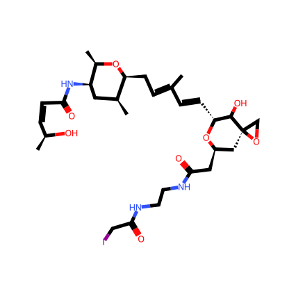 CC(/C=C/[C@H]1O[C@H](CC(=O)NCCNC(=O)CI)C[C@@]2(CO2)C1O)=C\C[C@@H]1O[C@H](C)[C@H](NC(=O)/C=C\[C@H](C)O)C[C@@H]1C